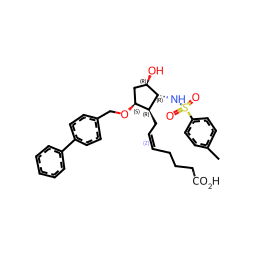 Cc1ccc(S(=O)(=O)N[C@@H]2[C@@H](C/C=C\CCCC(=O)O)[C@@H](OCc3ccc(-c4ccccc4)cc3)C[C@H]2O)cc1